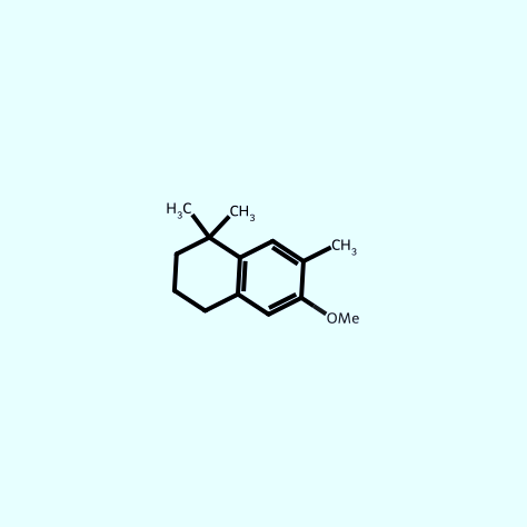 COc1cc2c(cc1C)C(C)(C)CCC2